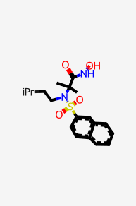 CC(C)CCN(C(C)(C)C(=O)NO)S(=O)(=O)c1ccc2ccccc2c1